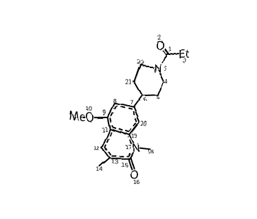 CCC(=O)N1CCC(c2cc(OC)c3cc(C)c(=O)n(C)c3c2)CC1